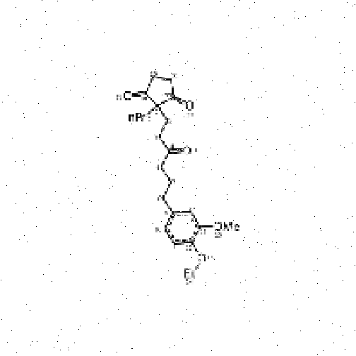 CCCC1(CCC(=O)CCCc2ccc(OCC)c(OC)c2)C(=O)CCC1=O